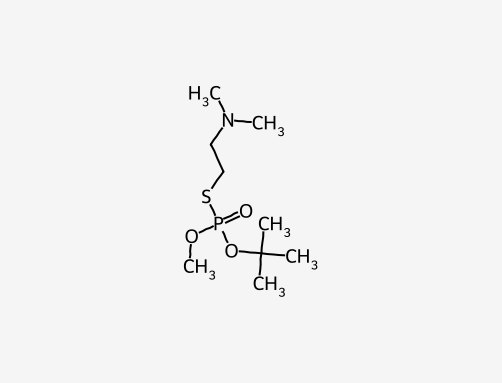 COP(=O)(OC(C)(C)C)SCCN(C)C